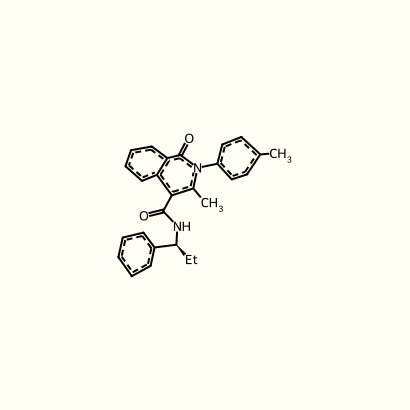 CC[C@H](NC(=O)c1c(C)n(-c2ccc(C)cc2)c(=O)c2ccccc12)c1ccccc1